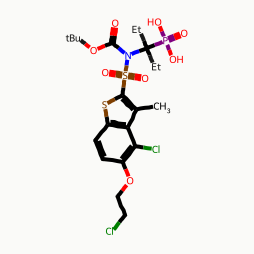 CCC(CC)(N(C(=O)OC(C)(C)C)S(=O)(=O)c1sc2ccc(OCCCl)c(Cl)c2c1C)P(=O)(O)O